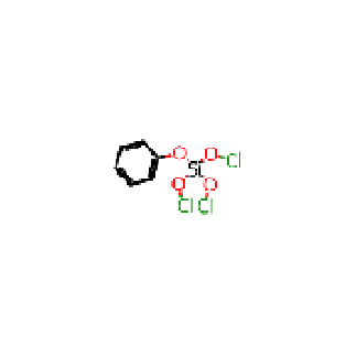 ClO[Si](OCl)(OCl)Oc1ccccc1